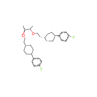 CC(OCCC1CCC(c2ccc(F)cc2)CC1)C(C)OCC[C@H]1CC[C@H](c2ccc(F)cc2)CC1